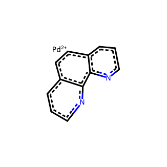 [Pd+2].c1cnc2c(c1)ccc1cccnc12